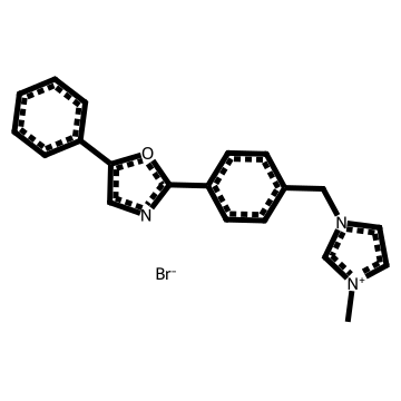 C[n+]1ccn(Cc2ccc(-c3ncc(-c4ccccc4)o3)cc2)c1.[Br-]